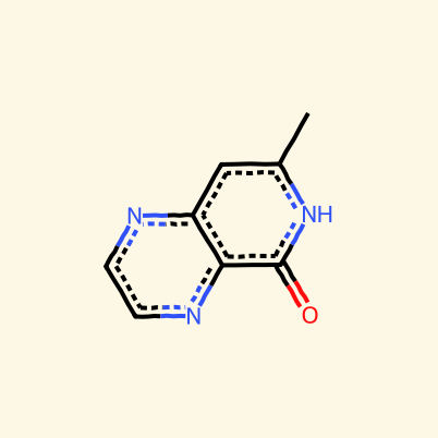 Cc1cc2nccnc2c(=O)[nH]1